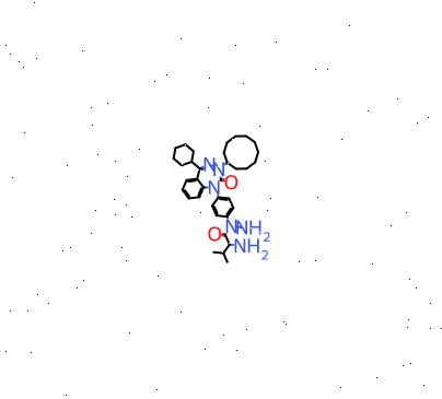 CC(C)[C@H](N)C(=O)N(N)c1ccc(N2C(=O)N(C3CCCCCCCCC3)N=C(C3CCCCC3)c3ccccc32)cc1